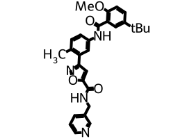 COc1ccc(C(C)(C)C)cc1C(=O)Nc1ccc(C)c(-c2cc(C(=O)NCc3cccnc3)on2)c1